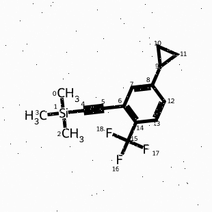 C[Si](C)(C)C#Cc1cc(C2CC2)ccc1C(F)(F)F